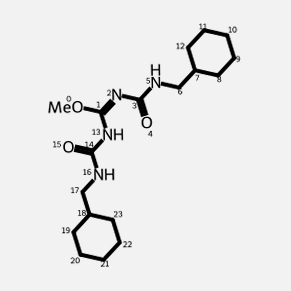 COC(=NC(=O)NCC1CCCCC1)NC(=O)NCC1CCCCC1